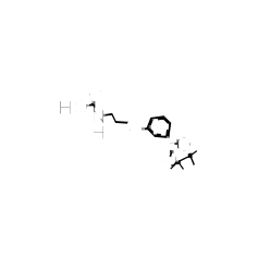 CC1(C)OB(c2cccc(OCCCNC(=O)O)c2)OC1(C)C